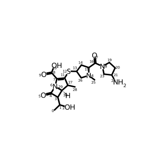 CC(O)C1C(=O)N2C(C(=O)O)=C(SC3CC(C(=O)N4CCC(N)C4)N(C)C3)C(C)[C@@H]12